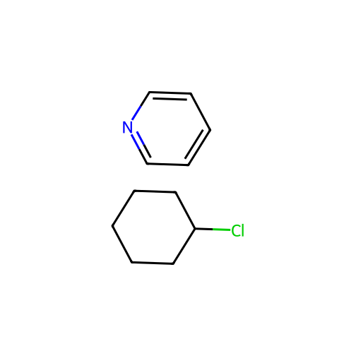 ClC1CCCCC1.c1ccncc1